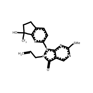 C=CCn1c(=O)c2cnc(SC)nc2n1-c1ccc2c(n1)C(O)(C(F)(F)F)CC2